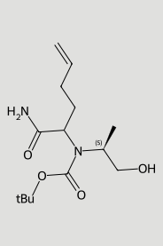 C=CCCC(C(N)=O)N(C(=O)OC(C)(C)C)[C@@H](C)CO